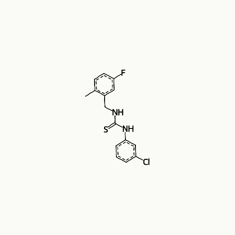 Cc1ccc(F)cc1CNC(=S)Nc1cccc(Cl)c1